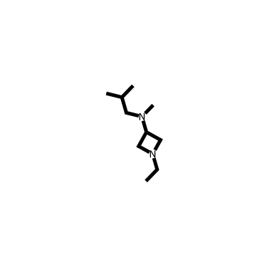 CCN1CC(N(C)CC(C)C)C1